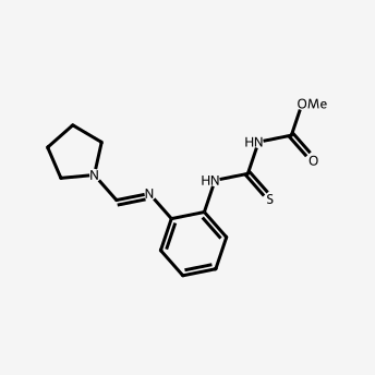 COC(=O)NC(=S)Nc1ccccc1N=CN1CCCC1